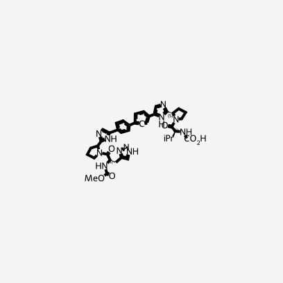 COC(=O)N[C@@H](Cc1c[nH]nn1)C(=O)N1CCCC1c1ncc(-c2ccc(-c3ccc(-c4cnc([C@@H]5CCCN5C(=O)[C@@H](NC(=O)O)C(C)C)[nH]4)cc3)cc2)[nH]1